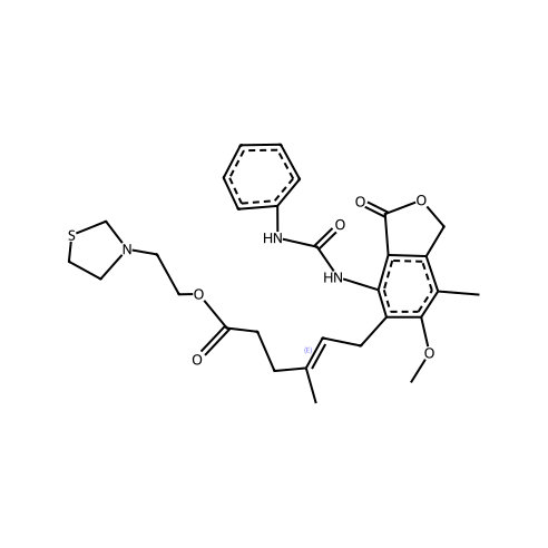 COc1c(C)c2c(c(NC(=O)Nc3ccccc3)c1C/C=C(\C)CCC(=O)OCCN1CCSC1)C(=O)OC2